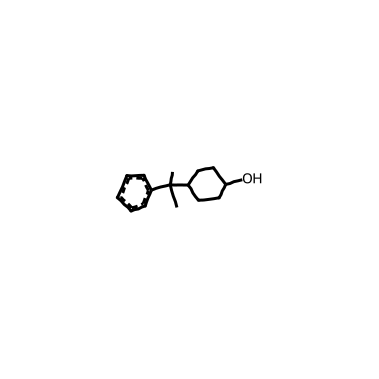 CC(C)(c1ccccc1)C1CCC(O)CC1